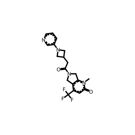 Cn1c2c(c(C(F)(F)F)cc1=O)CN(C(=O)CC1CN(c3cccnc3)C1)C2